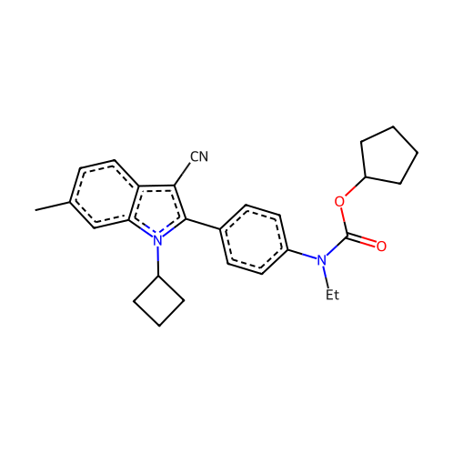 CCN(C(=O)OC1CCCC1)c1ccc(-c2c(C#N)c3ccc(C)cc3n2C2CCC2)cc1